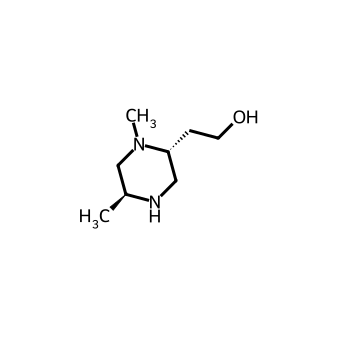 C[C@H]1CN(C)[C@H](CCO)CN1